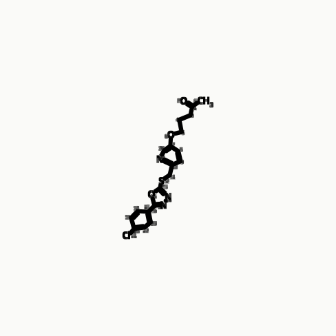 CC(=O)CCCOc1ccc(CSc2nnc(-c3ccc(Cl)cc3)o2)nc1